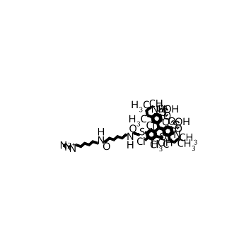 CC1CC(C)(C)Nc2c1cc1c(c2S(=O)(=O)O)Oc2c(S(=O)(=O)O)c3c(cc2=C1c1c(Cl)c(SCC(=O)NCCCCCC(=O)NCCCCCCN=[N+]=[N-])c(Cl)c(Cl)c1C(=O)O)C(C)CC(C)(C)N=3